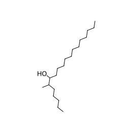 CCCCCCCCCCCCC(O)C(C)CCCCC